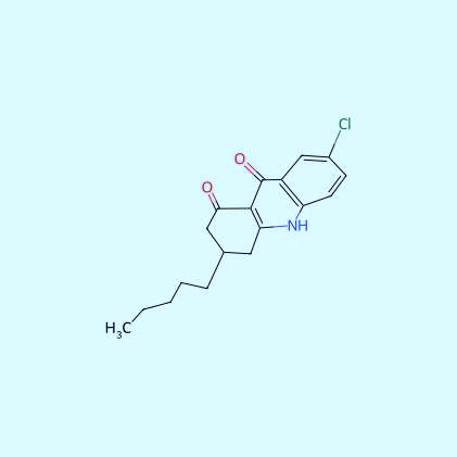 CCCCCC1CC(=O)c2c([nH]c3ccc(Cl)cc3c2=O)C1